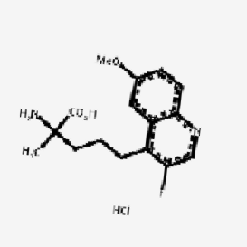 COc1ccc2ncc(F)c(CCCC(C)(N)C(=O)O)c2c1.Cl